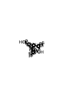 O=C(O)CN1CCN2c3ccc(-c4cc(F)cc(OC(F)F)c4)cc3N(S(=O)(=O)c3cc(C(F)(F)F)cnc3OCCO)CC2C1